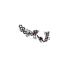 CC1(C)CCC(c2ccc(Cl)cc2)=C(CN2CCN(c3ccc(C(=O)NS(=O)(=O)c4ccc(N[C@H](CCN5CC6CCC5CN6Cc5ccc6c(c5)CN(N5CCC(=O)NC5=O)C6=O)CSc5ccccc5)c(S(=O)(=O)C(F)(F)F)c4)cc3)CC2)C1